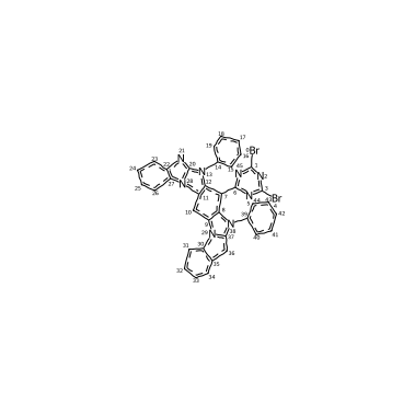 Brc1nc(Br)nc(-c2c3c(cc4c2n(-c2ccccc2)c2nc5ccccc5n42)n2c4ccccc4cc2n3-c2ccccc2)n1